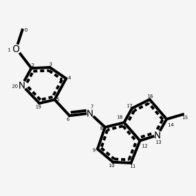 COc1ccc(C=Nc2cccc3nc(C)ccc23)cn1